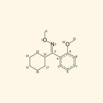 CO/N=C(/c1ccccc1OC)C1CCCCC1